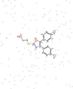 OCCSc1nc(-c2ccc(Cl)cc2)c(-c2ccc(Cl)cc2)o1